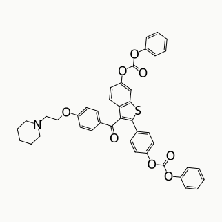 O=C(Oc1ccccc1)Oc1ccc(-c2sc3cc(OC(=O)Oc4ccccc4)ccc3c2C(=O)c2ccc(OCCN3CCCCC3)cc2)cc1